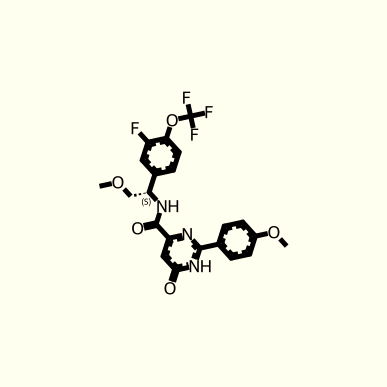 COC[C@@H](NC(=O)c1cc(=O)[nH]c(-c2ccc(OC)cc2)n1)c1ccc(OC(F)(F)F)c(F)c1